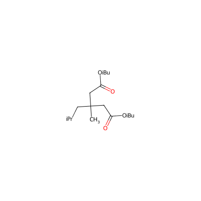 CC(C)COC(=O)CC(C)(CC(=O)OCC(C)C)CC(C)C